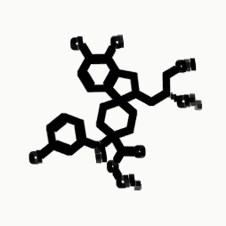 COC(=O)C1(Nc2cccc(Cl)c2)CCC2(CC1)c1ccc(Cl)c(Cl)c1CC2C[C@@H](C)CO